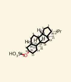 CC(C)[C@H]1CC[C@H]2[C@@H]3CC[C@@H]4C[C@H](OS(=O)(=O)O)CC[C@]4(C)[C@H]3CC[C@]12C